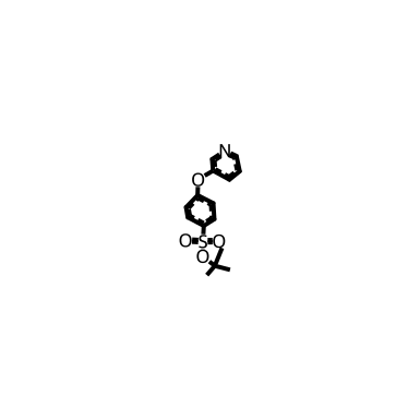 CC(C)(C)OS(=O)(=O)c1ccc(Oc2cccnc2)cc1